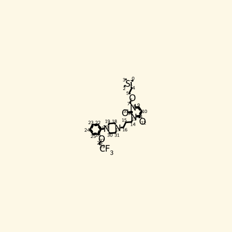 C[Si](C)(C)CCOCn1ccc(=O)n(CCCN2CCN(c3ccccc3OCC(F)(F)F)CC2)c1=O